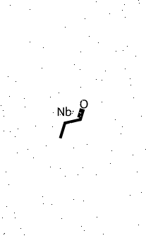 CCC=O.[Nb]